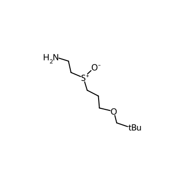 CC(C)(C)COCCC[S+]([O-])CCN